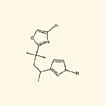 CC(C)c1coc(C(C)(C)CC(C)c2ccn(C(C)C)n2)n1